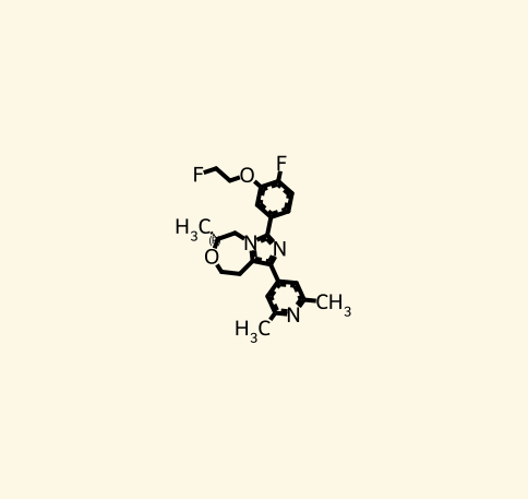 Cc1cc(-c2nc(-c3ccc(F)c(OCCF)c3)n3c2CCO[C@H](C)C3)cc(C)n1